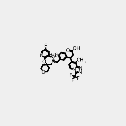 Cc1ccc(C(CC(=O)O)c2ccn3c(C(F)(F)F)nnc3c2C)cc1CN1CC2(CCOCC2)Oc2ncc(F)cc2[S+]1[O-]